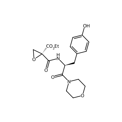 CCOC(=O)[C@@]1(C(=O)N[C@@H](Cc2ccc(O)cc2)C(=O)N2CCOCC2)CO1